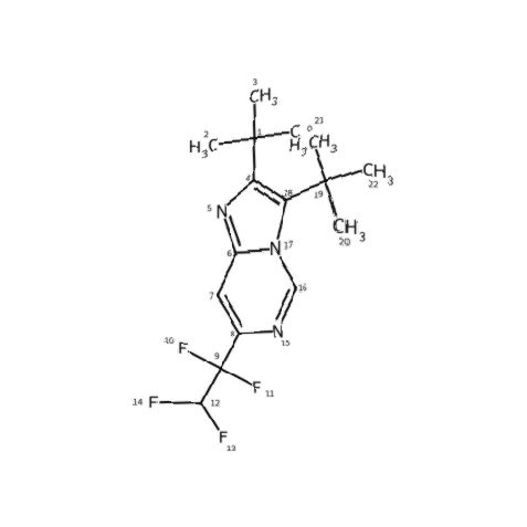 CC(C)(C)c1nc2cc(C(F)(F)C(F)F)ncn2c1C(C)(C)C